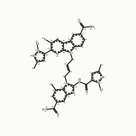 CCn1nc(C)cc1C(=O)Nc1nc2cc(C(N)=O)cc(C)c2n1CC=CCn1c2ccc(C(N)=O)cc2c2cc(F)c(-c3cc(C)nn3CC)nc21